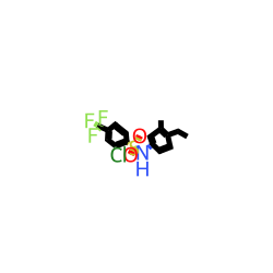 CCc1ccc(NS(=O)(=O)c2ccc(C(F)(F)F)cc2Cl)cc1C